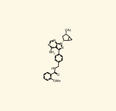 COc1ccccc1C(=O)NCc1ccc(-c2nn([C@@H]3C[C@@H](OC(C)=O)C4CC43)c3ncnc(N)c23)cc1